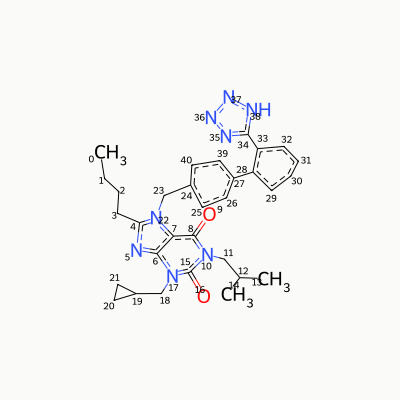 CCCCc1nc2c(c(=O)n(CC(C)C)c(=O)n2CC2CC2)n1Cc1ccc(-c2ccccc2-c2nnn[nH]2)cc1